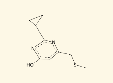 CSCc1cc(O)nc(C2CC2)n1